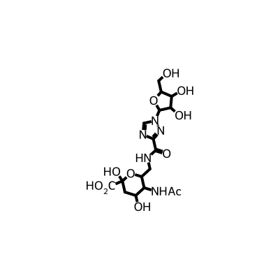 CC(=O)NC1C(O)CC(O)(C(=O)O)OC1CNC(=O)c1ncn(C2OC(CO)C(O)C2O)n1